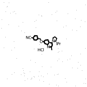 Cc1cc(N2CCC[C@@H]2C(C)C)c2ccc(OCc3ccc(C#N)cc3)cc2n1.Cl